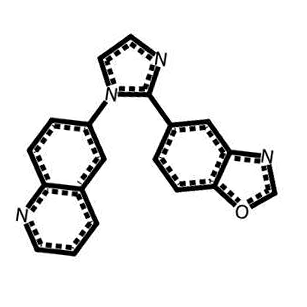 c1cnc2ccc(-n3ccnc3-c3ccc4ocnc4c3)cc2c1